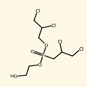 O=P(CC(Cl)CCl)(OCCO)OCC(Cl)CCl